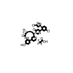 C[C@@H]1CCC[C@H](n2cnc(-c3cc(Cl)ccc3-n3cc(Cl)nn3)cc2=O)c2cc(ccn2)-c2ccc(O)cc2NC1=O.O=C(O)C(F)(F)F